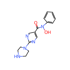 O=C(c1cnc(N2CCNCC2)nc1)N(O)c1ccccc1